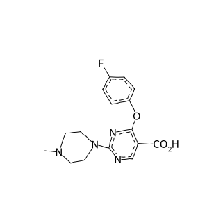 CN1CCN(c2ncc(C(=O)O)c(Oc3ccc(F)cc3)n2)CC1